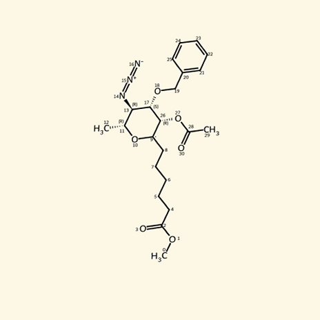 COC(=O)CCCCC[C]1O[C@H](C)[C@@H](N=[N+]=[N-])[C@H](OCc2ccccc2)[C@@H]1OC(C)=O